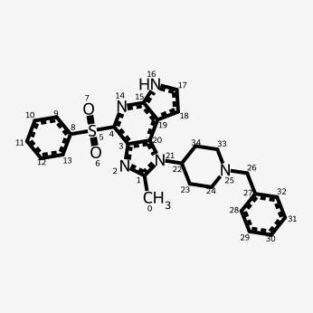 Cc1nc2c(S(=O)(=O)c3ccccc3)nc3[nH]ccc3c2n1C1CCN(Cc2ccccc2)CC1